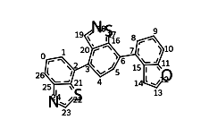 c1cc(-c2ccc(-c3cccc4occc34)c3sncc23)c2scnc2c1